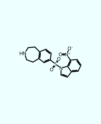 O=[N+]([O-])c1cccc2ccn(S(=O)(=O)c3ccc4c(c3)CCNCC4)c12